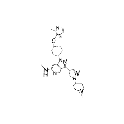 CNc1cc2c(cn1)c(-c1cnn(C3CCN(C)CC3)c1)nn2[C@H]1CC[C@@H](Oc2nccnc2C)CC1